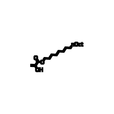 C=C(O)C(=O)OCCCCCCCCCCCCCCCC